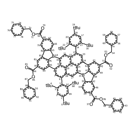 CC(C)(C)c1cc(C(C)(C)C)c(-c2cc3c4c(cc5c(-c6c(C(C)(C)C)cc(C(C)(C)C)cc6C(C)(C)C)cc6c7c(cc2c4c57)B2c4ccc(C(=O)OCc5ccccc5)cc4-c4cc(C(=O)OCc5ccccc5)cc-6c42)B2c4ccc(C(=O)OCc5ccccc5)cc4-c4cc(C(=O)OCc5ccccc5)cc-3c42)c(C(C)(C)C)c1